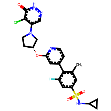 Cc1cc(S(=O)(=O)NC2CC2)cc(F)c1-c1ccnc(O[C@@H]2CCN(c3cn[nH]c(=O)c3Cl)C2)c1